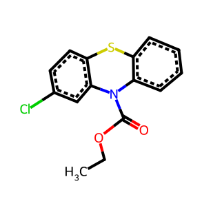 CCOC(=O)N1c2ccccc2Sc2ccc(Cl)cc21